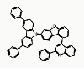 C1=C(c2ccccc2)CCc2c1c1cc(-c3ccccc3)ccc1n2-c1ccc2c(c1)oc1cccc(-c3cc(-c4ccccc4)nc4ccccc34)c12